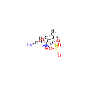 CC.CC.N=C=O.N=C=O.O=[SH](=O)O